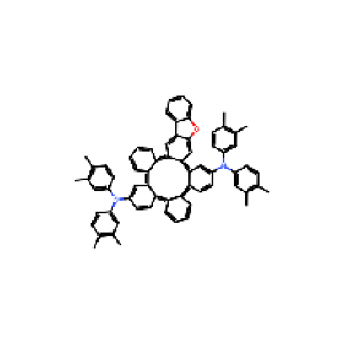 Cc1ccc(N(c2ccc(C)c(C)c2)c2ccc3c4ccccc4c4ccc(N(c5ccc(C)c(C)c5)c5ccc(C)c(C)c5)cc4c4cc5oc6ccccc6c5cc4c4ccccc4c3c2)cc1C